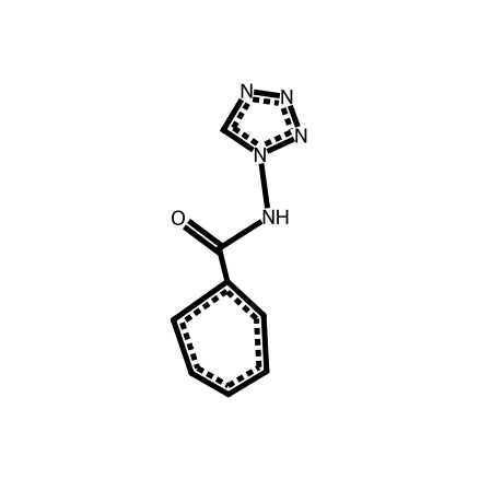 O=C(Nn1cnnn1)c1ccccc1